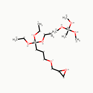 CCO[Si](CCCOCC1CO1)(OCC)OCC.CO[Si](C)(OC)OC